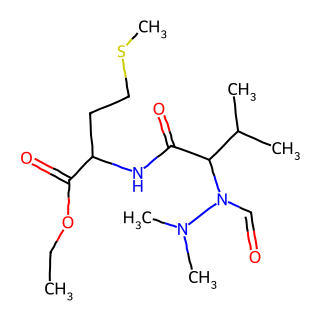 CCOC(=O)C(CCSC)NC(=O)C(C(C)C)N(C=O)N(C)C